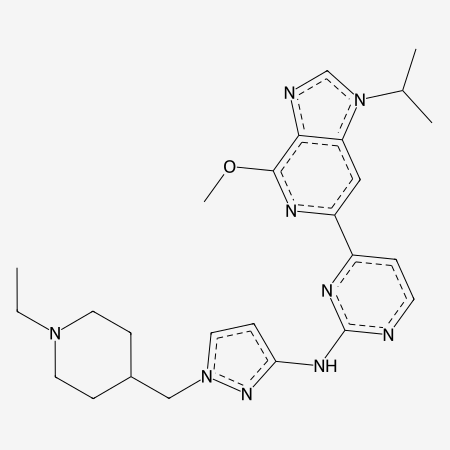 CCN1CCC(Cn2ccc(Nc3nccc(-c4cc5c(ncn5C(C)C)c(OC)n4)n3)n2)CC1